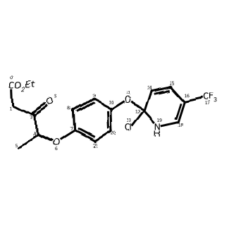 CCOC(=O)CC(=O)C(C)Oc1ccc(OC2(Cl)C=CC(C(F)(F)F)=CN2)cc1